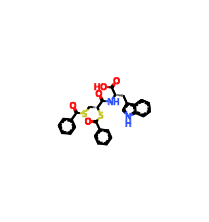 O=C(SC[C@@H](SC(=O)c1ccccc1)C(=O)N[C@@H](Cc1c[nH]c2ccccc12)C(=O)O)c1ccccc1